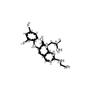 CC(C)CNc1ncc2cc(Oc3ccc(F)cc3F)c(=O)n(C[C@@H](C)O)c2n1